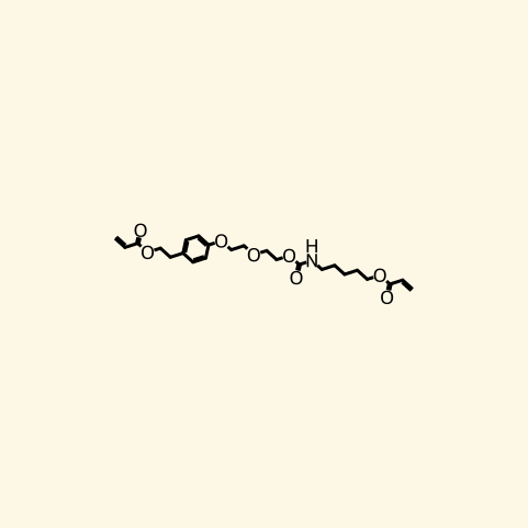 C=CC(=O)OCCCCCNC(=O)OCCOCCOc1ccc(CCOC(=O)C=C)cc1